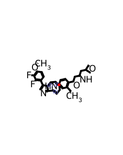 CCc1cc(N/C2=C\C/C=C\C=C3\C(c4ccc(OC)c(F)c4F)=CN=C23)ccc1C(=O)CC(=N)CC1COC1